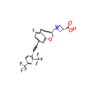 O=C(O)C1CN(CC2=Cc3c(F)cc(C#Cc4ccc(C(F)(F)F)cc4C(F)(F)F)cc3OC2)C1